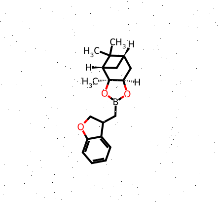 CC1(C)[C@@H]2C[C@H]3OB(CC4COc5ccccc54)O[C@@]3(C)[C@H]1C2